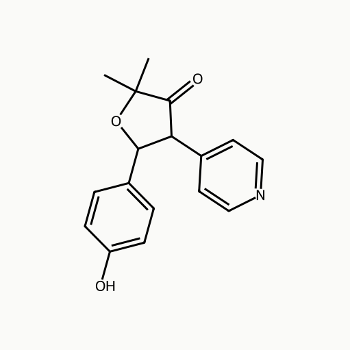 CC1(C)OC(c2ccc(O)cc2)C(c2ccncc2)C1=O